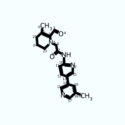 CC1=C(C=O)N(CC(=O)Nc2ccc(-c3cncc(C)c3)cn2)CCC1